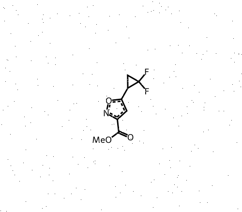 COC(=O)c1cc(C2CC2(F)F)on1